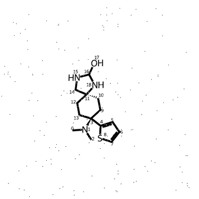 CN(C)[C@]1(c2cccs2)CC[C@]2(CC1)CNC(O)N2